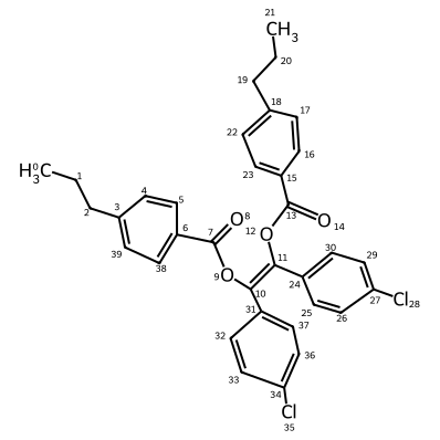 CCCc1ccc(C(=O)OC(=C(OC(=O)c2ccc(CCC)cc2)c2ccc(Cl)cc2)c2ccc(Cl)cc2)cc1